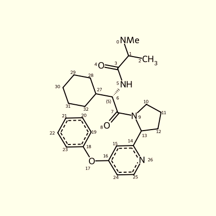 CNC(C)C(=O)N[C@H](C(=O)N1CCCC1c1cc(Oc2ccccc2)ccn1)C1CCCCC1